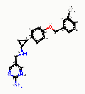 Nc1ncc(CN[C@H]2C[C@@H]2c2ccc(OCc3cccc(C(F)(F)F)c3)cc2)cn1